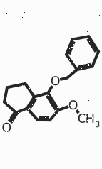 COc1ccc2c(c1OCc1ccccc1)CCCC2=O